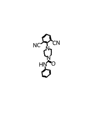 N#Cc1cccc(C#N)c1N1CCN(C(=O)Nc2ccccc2)CC1